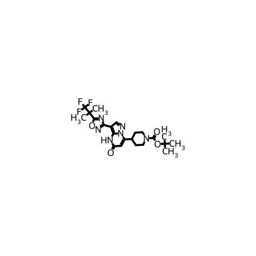 CC(C)(C)OC(=O)N1CCC(c2cc(=O)[nH]c3c(-c4noc(C(C)(C)C(F)(F)F)n4)cnn23)CC1